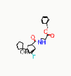 COC1(c2cc(F)cc(C(=O)NCCC(=O)OCc3ccccc3)c2)CCCC1